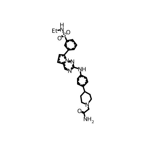 CCNS(=O)(=O)c1cccc(-c2ccc3cnc(Nc4ccc(C5CCN(CC(N)=O)CC5)cc4)nn23)c1